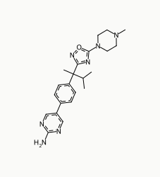 CC(C)C(C)(c1ccc(-c2cnc(N)nc2)cc1)c1noc(N2CCN(C)CC2)n1